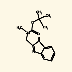 C[As](Cc1nc2ccccc2[nH]1)C(=O)OC(C)(C)C